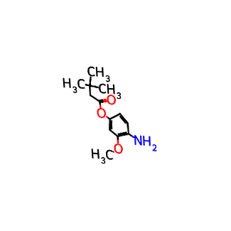 COc1cc(OC(=O)CC(C)(C)C)ccc1N